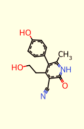 Cc1[nH]c(=O)c(C#N)c(CCO)c1-c1ccc(O)cc1